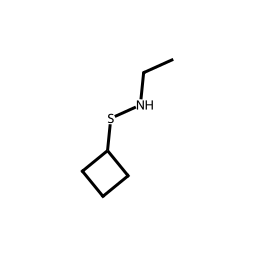 CCNSC1CCC1